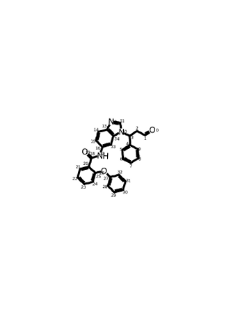 O=CCC(c1ccccc1)n1cnc2ccc(NC(=O)c3ccccc3Oc3ccccc3)cc21